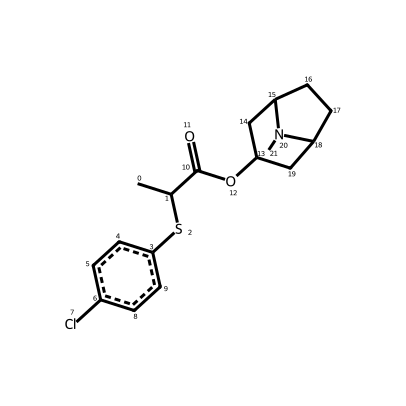 CC(Sc1ccc(Cl)cc1)C(=O)OC1CC2CCC(C1)N2C